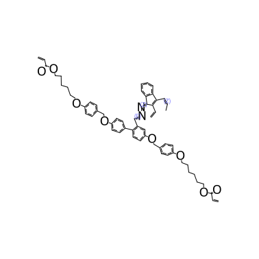 C=CC(=O)OCCCCCCOc1ccc(COc2ccc(-c3ccc(OCc4ccc(OCCCCCCOC(=O)C=C)cc4)cc3/C=N/N=C3C(C=C)=C(/C=C\C)c4ccccc4\3)cc2)cc1